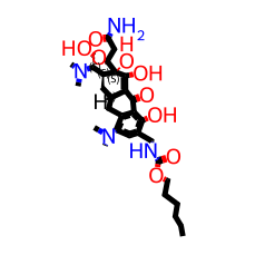 CCCCCCOC(=O)NCc1cc(N(C)C)c2c(c1O)C(=O)C1=C(O)[C@](O)(C(=O)CC(N)=O)[C@H]([C@@H](CO)N(C)C)C[C@@H]1C2